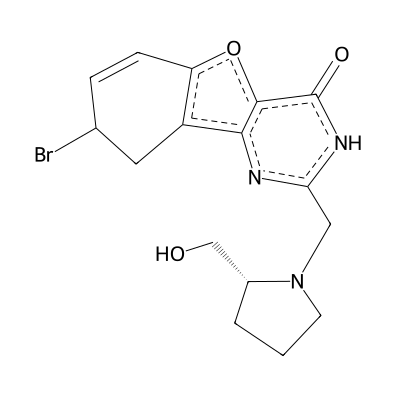 O=c1[nH]c(CN2CCC[C@@H]2CO)nc2c3c(oc12)C=CC(Br)C3